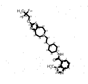 Cn1nnc2cccc(C(=O)N[C@H]3CC[C@H](CCN4CCc5nc(OCC(C)(F)F)sc5CC4)CC3)c21